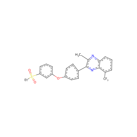 CCS(=O)(=O)c1cccc(Oc2ccc(-c3nc4c(C(F)(F)F)cccc4nc3C)cc2)c1